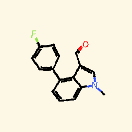 Cn1cc(C=O)c2c(-c3ccc(F)cc3)cccc21